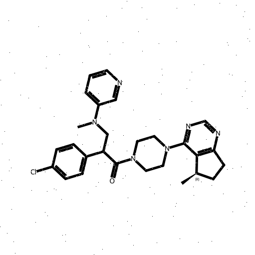 C[C@@H]1CCc2ncnc(N3CCN(C(=O)C(CN(C)c4cccnc4)c4ccc(Cl)cc4)CC3)c21